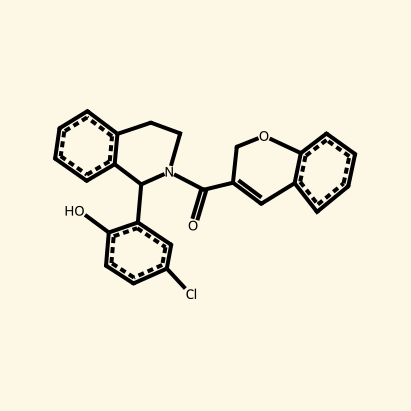 O=C(C1=Cc2ccccc2OC1)N1CCc2ccccc2C1c1cc(Cl)ccc1O